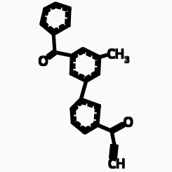 C#CC(=O)c1cccc(-c2cc(C)cc(C(=O)c3ccccc3)c2)c1